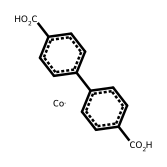 O=C(O)c1ccc(-c2ccc(C(=O)O)cc2)cc1.[Co]